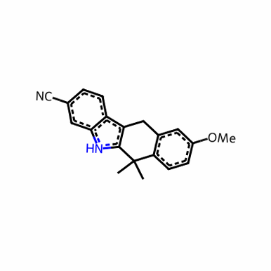 COc1ccc2c(c1)Cc1c([nH]c3cc(C#N)ccc13)C2(C)C